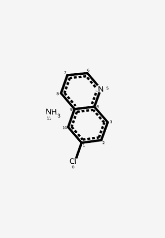 Clc1ccc2ncccc2c1.N